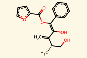 C=C(/C(O)=C(\OC(=O)c1ccco1)c1ccccc1)[C@@H](C)CO